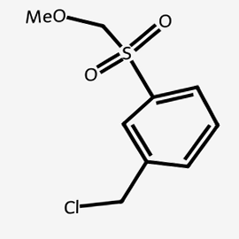 COCS(=O)(=O)c1cccc(CCl)c1